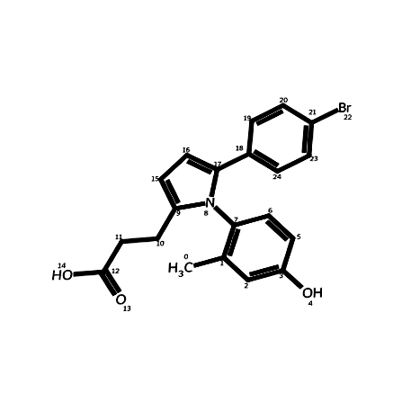 Cc1cc(O)ccc1-n1c(CCC(=O)O)ccc1-c1ccc(Br)cc1